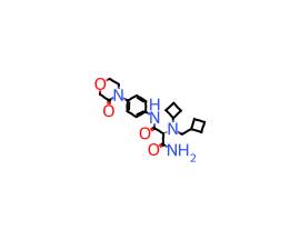 NC(=O)[C@H](C(=O)Nc1ccc(N2CCOCC2=O)cc1)N(CC1CCC1)C1CCC1